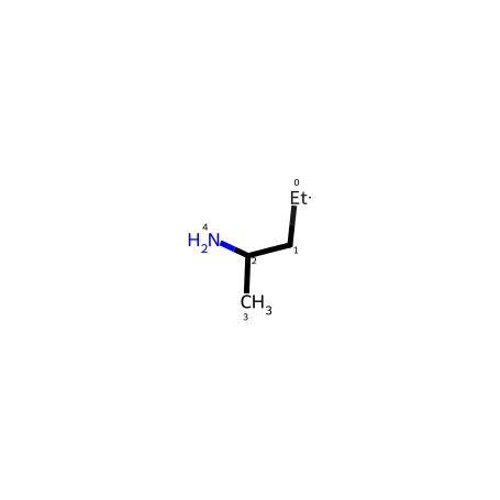 C[CH]CC(C)N